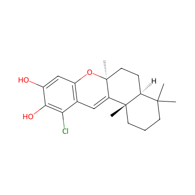 CC1(C)CCC[C@]2(C)C3=Cc4c(cc(O)c(O)c4Cl)O[C@@]3(C)CC[C@@H]12